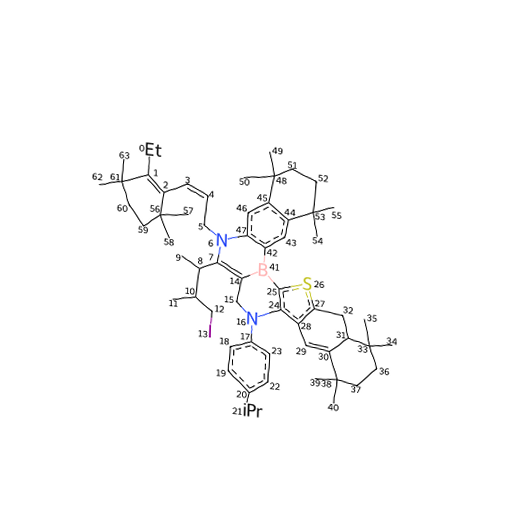 CCC1=C(/C=C\CN2C(C(C)C(C)CI)=C3CN(c4ccc(C(C)C)cc4)c4c(sc5c4C=C4C(C5)C(C)(C)CCC4(C)C)B3c3cc4c(cc32)C(C)(C)CCC4(C)C)C(C)(C)CCC1(C)C